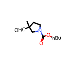 CCCCOC(=O)N1CCC(C)(C=O)C1